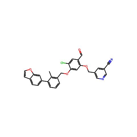 Cc1c(COc2cc(OCc3cncc(C#N)c3)c(C=O)cc2Cl)cccc1-c1ccc2ccoc2c1